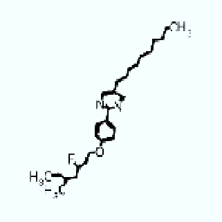 CCCCCCCCCCc1cnc(-c2ccc(OCCC(F)CC(C)CC)cc2)nc1